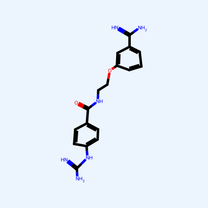 N=C(N)Nc1ccc(C(=O)NCCOc2cccc(C(=N)N)c2)cc1